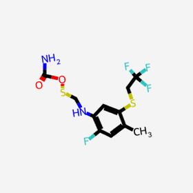 Cc1cc(F)c(NCSOC(N)=O)cc1SCC(F)(F)F